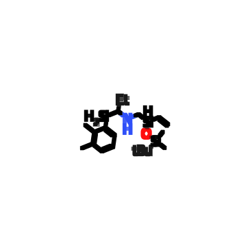 C=C[SiH](CNC(CC)[SiH2]c1cccc(C)c1C)O[Si](C)(C)C(C)(C)C